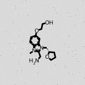 C[n+]1c(CN)n(C[C@@H]2CCCO2)c2cc(OCCO)ccc21